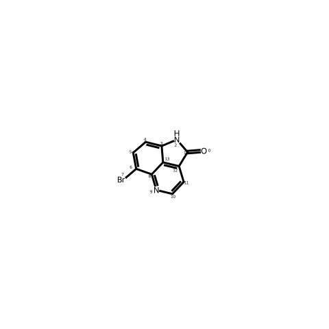 O=C1Nc2ccc(Br)c3nccc1c23